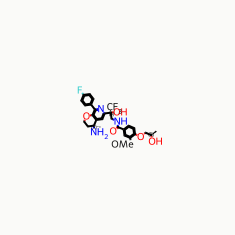 COc1cc(C(=O)NC[C@](O)(c2cc3c(c(-c4ccc(F)cc4)n2)OCC[C@]3(C)N)C(F)(F)F)ccc1OC[C@@H](C)O